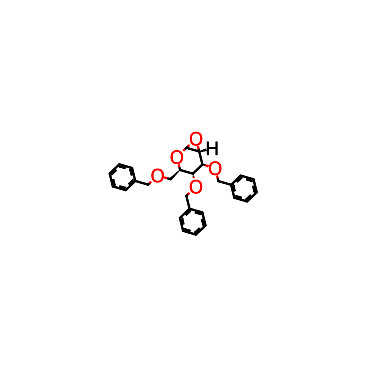 c1ccc(COC[C@H]2OC3O[C@@H]3[C@@H](OCc3ccccc3)[C@@H]2OCc2ccccc2)cc1